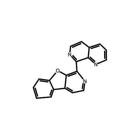 c1cnc2c(-c3nccc4c3oc3ccccc34)nccc2c1